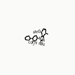 CCCCc1nc2c(C)ccc(OC)c2n1-c1ccc(-c2ccccc2C(=O)O)c(C)c1